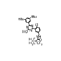 CC(C)(C)c1cc(-c2nc(O)nc(-c3cc(CNC(=O)C(C)(C)C(F)(F)F)ccc3Cl)n2)cc(C(C)(C)C)c1